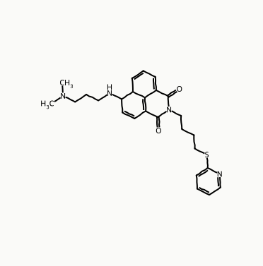 CN(C)CCCNC1C=CC2=C3C(=CC=CC31)C(=O)N(CCCCSc1ccccn1)C2=O